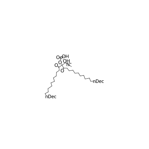 CCCCCCCCCCCCCCCCCCCCC(=O)C(C[N+](C)(C)C)(OP(=O)(O)O)C(=O)CCCCCCCCCCCCCCCCCCCC